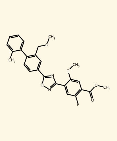 COCc1cc(-c2nc(-c3cc(F)c(C(=O)OC)cc3OC)no2)ccc1-c1ccccc1C